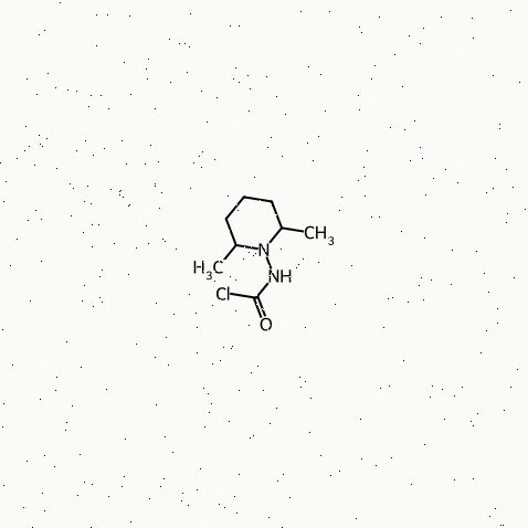 CC1CCCC(C)N1NC(=O)Cl